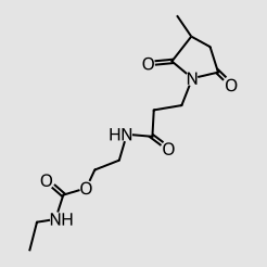 CCNC(=O)OCCNC(=O)CCN1C(=O)CC(C)C1=O